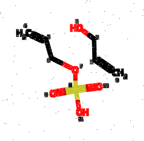 C=CCO.C=CCOS(=O)(=O)O